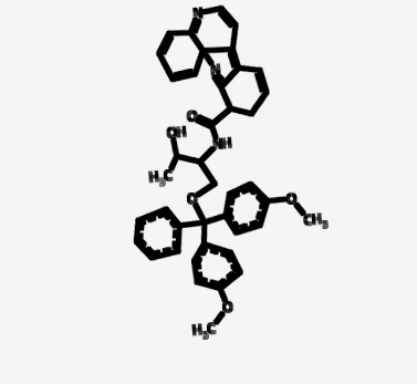 COc1ccc(C(OCC(NC(=O)C2CC=CC3=C4C=CN=C5C=CC=CC54N=C32)C(C)O)(c2ccccc2)c2ccc(OC)cc2)cc1